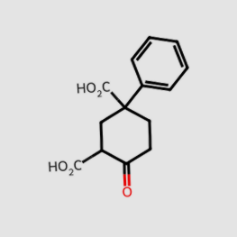 O=C(O)C1CC(C(=O)O)(c2ccccc2)CCC1=O